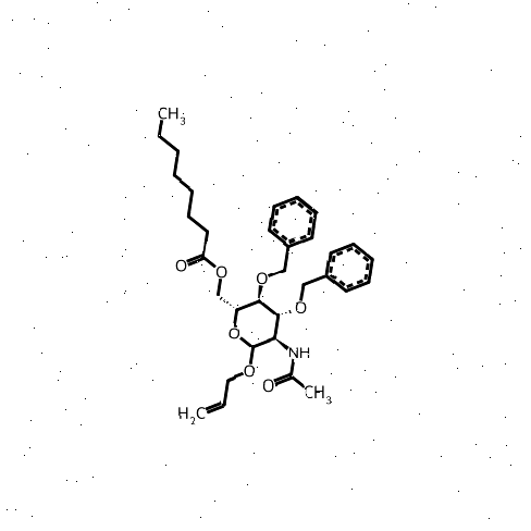 C=CCOC1O[C@H](COC(=O)CCCCCCC)[C@@H](OCc2ccccc2)[C@H](OCc2ccccc2)[C@H]1NC(C)=O